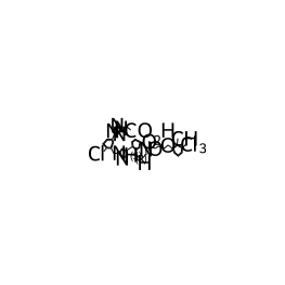 Cc1c(Cl)cccc1OCCOC(=O)N1C[C@@H]2C[C@@H]2c2c(-c3cnn(Cc4cc(-c5nnn(CC(=O)O)n5)ccc4Cl)c3)cccc21